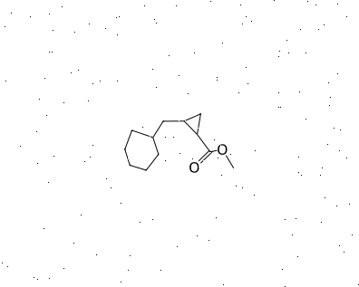 COC(=O)C1CC1CC1CCCCC1